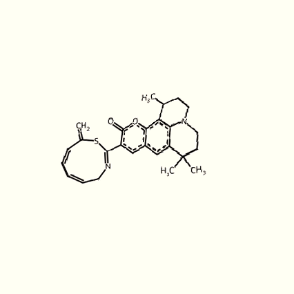 C=C1/C=C\C=C/C/N=C(/c2cc3cc4c5c(c3oc2=O)C(C)CCN5CCC4(C)C)S1